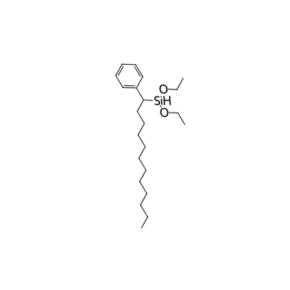 CCCCCCCCCCCC(c1ccccc1)[SiH](OCC)OCC